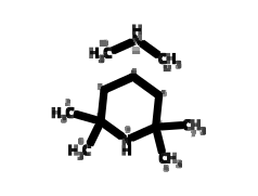 CC1(C)CCCC(C)(C)N1.CNC